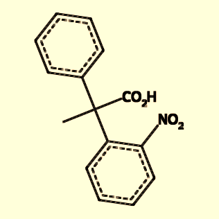 CC(C(=O)O)(c1ccccc1)c1ccccc1[N+](=O)[O-]